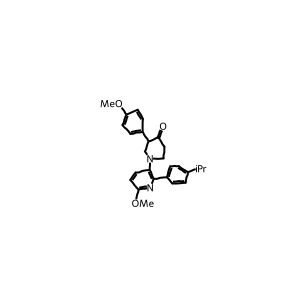 COc1ccc(C2CN(c3ccc(OC)nc3-c3ccc(C(C)C)cc3)CCC2=O)cc1